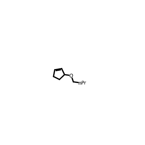 CCCCOC1C=CCC1